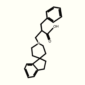 O=C(O)C(Cc1ccccc1)CN1CCC2(CCc3ccccc32)CC1